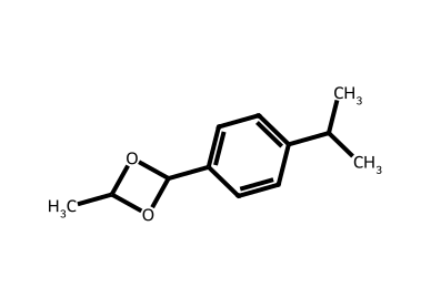 CC1OC(c2ccc(C(C)C)cc2)O1